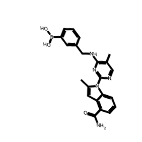 Cc1cnc(-n2c(C)cc3c(C(N)=O)cccc32)nc1NCc1cccc(B(O)O)c1